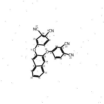 N#Cc1ccc(Oc2cc3ccccc3cc2Oc2ccc(C#N)c(C#N)c2)cc1C#N